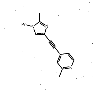 Cc1cc(C#Cc2cn(C(C)C)c(C)n2)ccn1